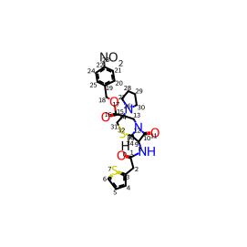 O=C(Cc1cccs1)NC1C(=O)N2CC(C(=O)OCc3ccc([N+](=O)[O-])cc3)(N3CCCC3)CS[C@H]12